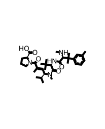 CN[C@H](C(=O)N[C@H](C(=O)N(C)[C@H](/C=C(\C)C(=O)N1CCC[C@H]1C(=O)O)C(C)C)C(C)(C)C)C(C)(C)c1cccc(C)c1